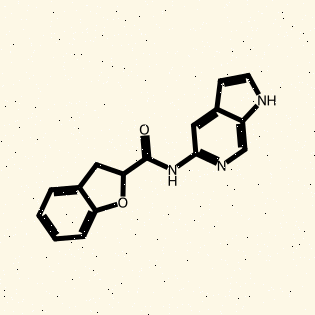 O=C(Nc1cc2cc[nH]c2cn1)C1Cc2ccccc2O1